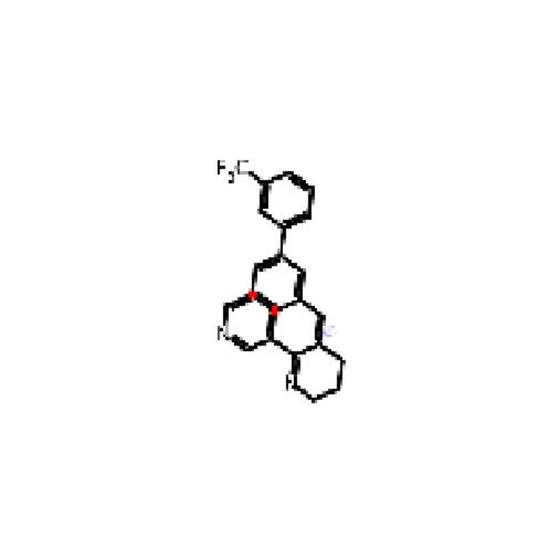 FC(F)(F)c1cccc(-c2cccc(/C=C3/CCCN=C3c3cccnc3)c2)c1